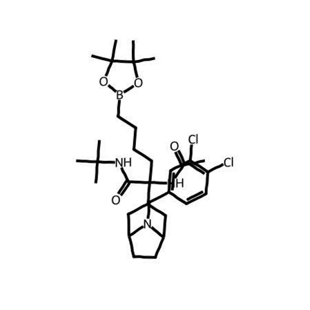 CC(=O)NC(CCCCB1OC(C)(C)C(C)(C)O1)(C(=O)NC(C)(C)C)C1CC2CCC(C1)N2Cc1ccc(Cl)c(Cl)c1